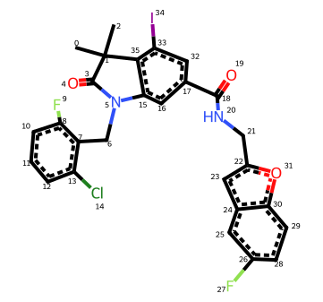 CC1(C)C(=O)N(Cc2c(F)cccc2Cl)c2cc(C(=O)NCc3cc4cc(F)ccc4o3)cc(I)c21